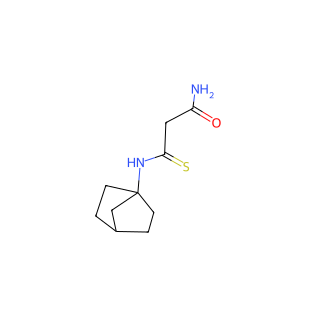 NC(=O)CC(=S)NC12CCC(CC1)C2